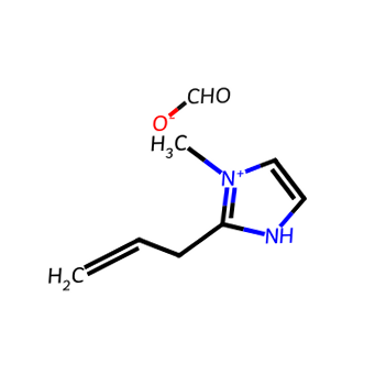 C=CCc1[nH]cc[n+]1C.O=C[O-]